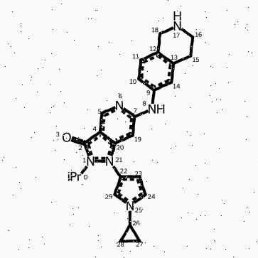 CC(C)n1c(=O)c2cnc(Nc3ccc4c(c3)CCNC4)cc2n1-c1ccn(C2CC2)c1